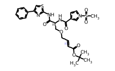 CC(C)(C)OC(=O)/C=C/COC[C@H](NC(=O)c1ccn(S(C)(=O)=O)c1)C(=O)Nc1nc(-c2ccccc2)cs1